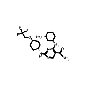 NC(=O)c1cnc(N[C@H]2CC[C@H](OCC(F)(F)F)CC2)nc1N[C@@H]1CCC[C@@H](O)C1